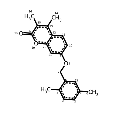 Cc1ccc(C)c(COc2ccc3c(C)c(C)c(=O)oc3c2)c1